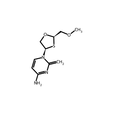 C=C1N=C(N)C=CN1[C@H]1CO[C@@H](COC)S1